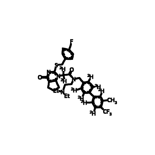 [2H]c1c([2H])c(-c2c([2H])c([2H])c(C(F)(F)F)c(C)c2[2H])c([2H])c([2H])c1CN(CCN(CC)CC)C(=O)C([2H])([2H])n1c(SCc2ccc(F)cc2)nc(=O)c2c1CCC2